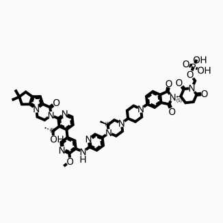 COc1ncc(-c2ccnc(N3CCn4c(cc5c4CC(C)(C)C5)C3=O)c2[C@@H](C)O)cc1Nc1ccc(N2CCN(C3CCN(c4ccc5c(c4)C(=O)N([C@H]4CCC(=O)N(COP(=O)(O)O)C4=O)C5=O)CC3)C[C@@H]2C)cn1